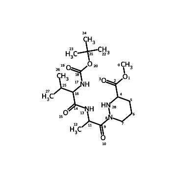 COC(=O)C1CCCN(C(=O)C(C)NC(=O)C(NC(=O)OC(C)(C)C)C(C)C)N1